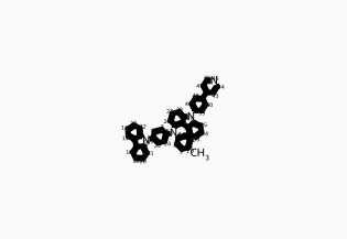 Cc1ccc(N(c2ccc(-n3c4ccccc4c4ccccc43)cc2)c2cccc3c2c2ccccc2n3-c2ccc(-c3ccncc3)cc2)cc1